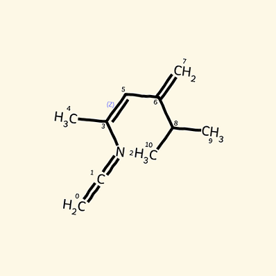 C=C=N/C(C)=C\C(=C)C(C)C